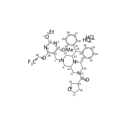 CCOc1nc(OC)c(CN2CC3CN(C(=O)C4CCOC4)CCN3C(C(c3ccccc3)c3ccccc3)C2)c(OCC(F)(F)F)n1.Cl.Cl